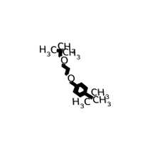 CC(C)(C)COCCCOCc1ccc(C(C)(C)C)cc1